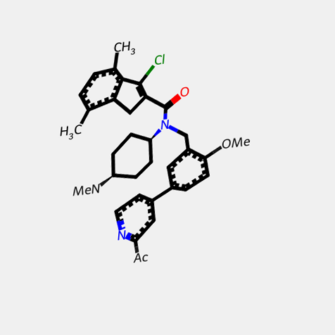 CN[C@H]1CC[C@@H](N(Cc2cc(-c3ccnc(C(C)=O)c3)ccc2OC)C(=O)C2=C(Cl)c3c(C)ccc(C)c3C2)CC1